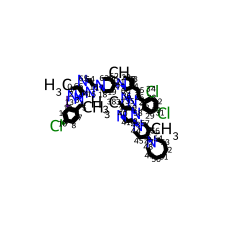 Cc1nn(C(C)c2ccc(Cl)cc2I)c2nc(N3CCC(N4CC=C(CC(c5ccc(Cl)cc5Cl)n5nc(C)c6ncc(N7CCC(N8CCCCCCC8)C(C)C7)nc65)C4)C(C)C3)cnc12